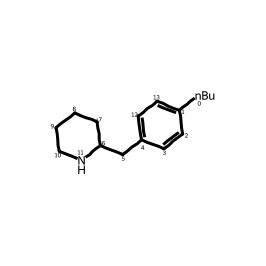 CCCCc1ccc(CC2[CH]CCCN2)cc1